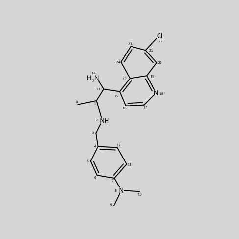 CC(NCc1ccc(N(C)C)cc1)C(N)c1ccnc2cc(Cl)ccc12